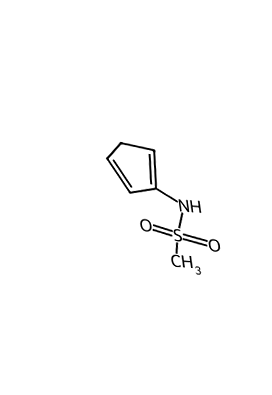 CS(=O)(=O)NC1=CCC=C1